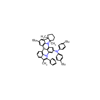 Cc1c(-c2ccccc2)n2c3c(cccc13)B1c3cc(C(C)(C)C)cc4c3N(c3cc(N(c5ccc(C(C)(C)C)cc5)c5ccc(C(C)(C)C)cc5)cc-2c31)C1(C)CCCCC41C